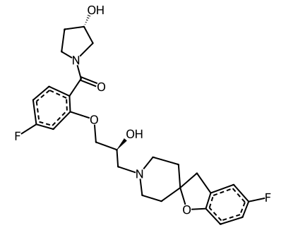 O=C(c1ccc(F)cc1OC[C@@H](O)CN1CCC2(CC1)Cc1cc(F)ccc1O2)N1CC[C@H](O)C1